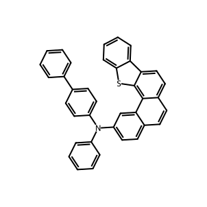 c1ccc(-c2ccc(N(c3ccccc3)c3ccc4ccc5ccc6c7ccccc7sc6c5c4c3)cc2)cc1